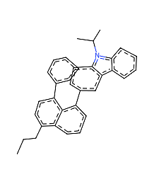 CCCc1ccc(-c2ccccc2)c2c(-c3ccc4c(c3)c3ccccc3n4C(C)C)cccc12